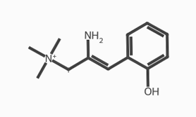 C[N+](C)(C)[CH]C(N)=Cc1ccccc1O